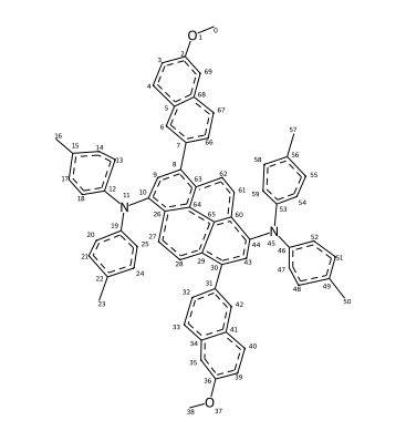 COc1ccc2cc(-c3cc(N(c4ccc(C)cc4)c4ccc(C)cc4)c4ccc5c(-c6ccc7cc(OC)ccc7c6)cc(N(c6ccc(C)cc6)c6ccc(C)cc6)c6ccc3c4c56)ccc2c1